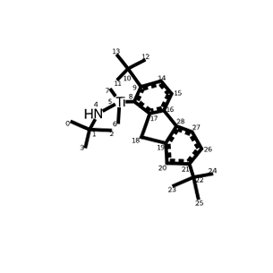 CC(C)(C)[NH][Ti]([CH3])([CH3])[c]1c(C(C)(C)C)ccc2c1Cc1cc(C(C)(C)C)ccc1-2